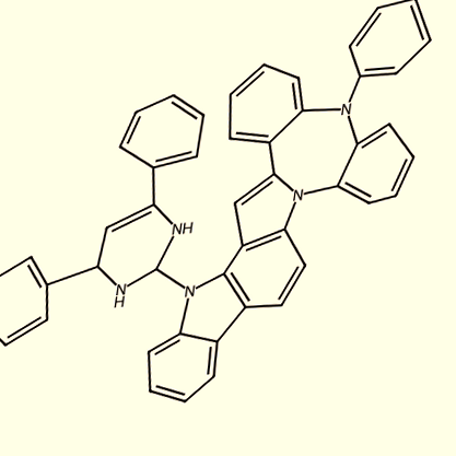 C1=C(c2ccccc2)NC(n2c3ccccc3c3ccc4c(cc5n4-c4ccccc4N(c4ccccc4)c4ccccc4-5)c32)NC1c1ccccc1